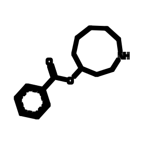 O=C(OC1CCCCCNCC1)c1ccccc1